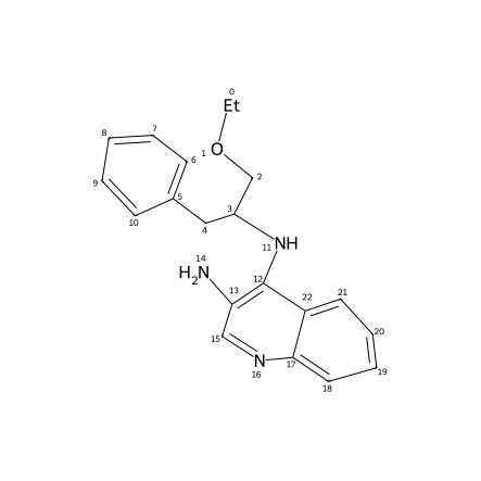 CCOCC(Cc1ccccc1)Nc1c(N)cnc2ccccc12